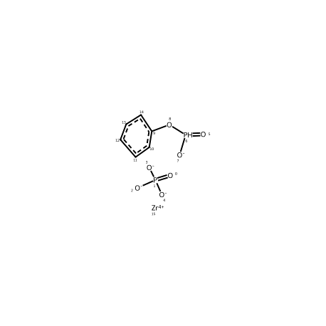 O=P([O-])([O-])[O-].O=[PH]([O-])Oc1ccccc1.[Zr+4]